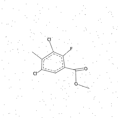 COC(=O)c1cc(Cl)c(C)c(Cl)c1F